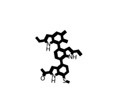 C=Cc1cc2c(-c3c(=C)c(=C)cc4cc(CC)[nH]c34)ccc(C3=c4cc(C(C)=O)[nH]c4=C(SC)CC3)c2[nH]1